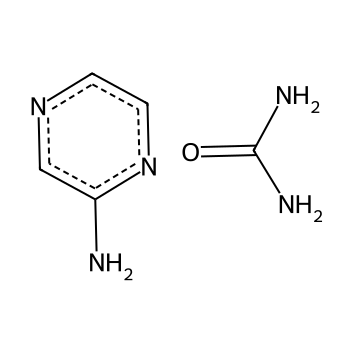 NC(N)=O.Nc1cnccn1